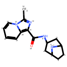 CN1C2CCC1CC(NC(=O)c1nc(C(F)(F)F)n3ccccc13)C2